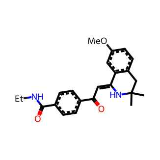 CCNC(=O)c1ccc(C(=O)C=C2NC(C)(C)Cc3ccc(OC)cc32)cc1